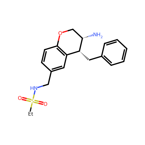 CCS(=O)(=O)NCc1ccc2c(c1)[C@@H](Cc1ccccc1)[C@@H](N)CO2